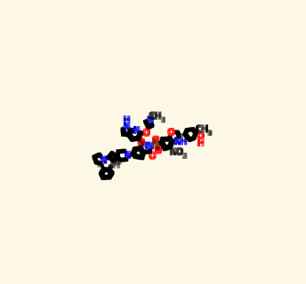 CC(C)c1ccccc1[C@H]1CCCN1C1CC2(CCN(c3ccc(C(=O)NS(=O)(=O)c4cc5c(c([N+](=O)[O-])c4)N[C@@H](C4CCC(C)(O)CC4)CO5)c(Oc4cc5cc[nH]c5nc4OC4CN(C)C4)c3)CC2)C1